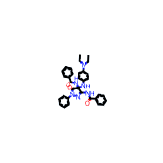 CCN(CC)c1ccc(NC2(NC(=O)c3ccccc3)C(=O)N(c3ccccc3)N=C2NC(=O)c2ccccc2)cc1